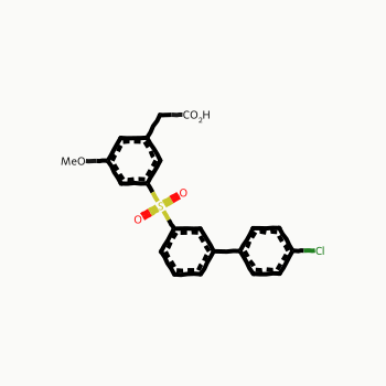 COc1cc(CC(=O)O)cc(S(=O)(=O)c2cccc(-c3ccc(Cl)cc3)c2)c1